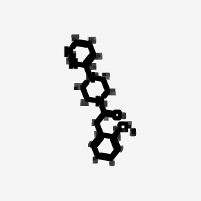 O=C(Cc1ccccc1C(F)(F)F)N1CCN(c2cccnn2)CC1